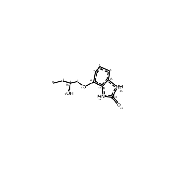 CC[C@H](O)COc1cccc2[nH]c(=O)[nH]c12